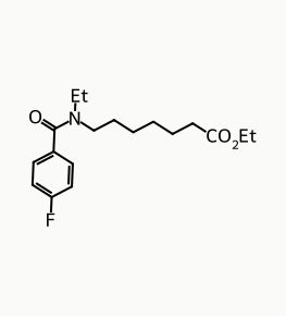 CCOC(=O)CCCCCCN(CC)C(=O)c1ccc(F)cc1